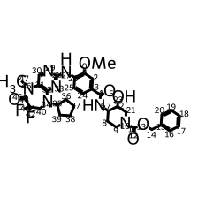 COc1cc(C(=O)NC2CCN(C(=O)OCc3ccccc3)CC2O)ccc1Nc1ncc2c(n1)N(C1CCCC1)CC(F)(F)C(=O)N2C